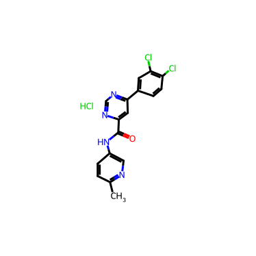 Cc1ccc(NC(=O)c2cc(-c3ccc(Cl)c(Cl)c3)ncn2)cn1.Cl